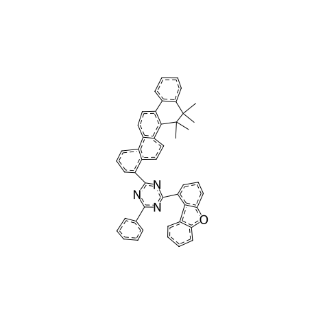 CC1(C)c2ccccc2-c2ccc3c(ccc4c(-c5nc(-c6ccccc6)nc(-c6cccc7oc8ccccc8c67)n5)cccc43)c2C1(C)C